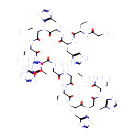 CCCCCCCCCCCC(=O)N[C@H](CC(C)C)C(=O)N[C@@H](Cc1c[nH]cn1)C(=O)N[C@@H](Cc1c[nH]cn1)C(=O)N[C@H](CC(C)C)C(=O)N[C@H](CC(C)C)C(=O)N[C@@H](Cc1c[nH]cn1)C(=O)N[C@@H](Cc1c[nH]cn1)C(=O)N[C@H](CC(C)C)C(=O)N[C@H](CC(C)C)C(=O)N[C@@H](Cc1c[nH]cn1)C(=O)N[C@@H](Cc1c[nH]cn1)C(=O)N[C@H](CC(C)C)C(N)=O